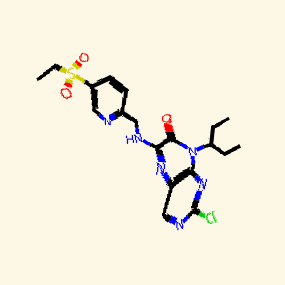 CCC(CC)n1c(=O)c(NCc2ccc(S(=O)(=O)CC)cn2)nc2cnc(Cl)nc21